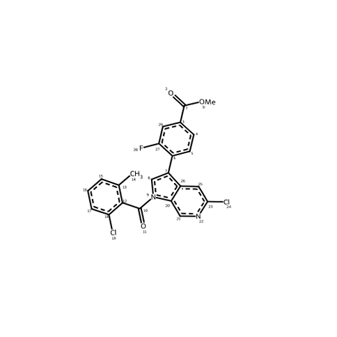 COC(=O)c1ccc(-c2cn(C(=O)c3c(C)cccc3Cl)c3cnc(Cl)cc23)c(F)c1